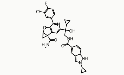 NC(=O)[C@@]12CC1Oc1c2cc(C(O)(CNC(=O)C2=CC3=CN(C4CC4)NC3C=C2)C2CC2)nc1-c1ccc(F)c(Cl)c1